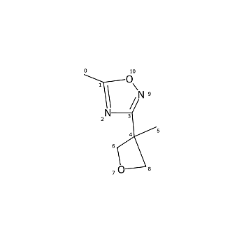 Cc1nc(C2(C)COC2)no1